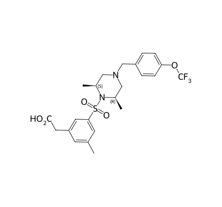 Cc1cc(CC(=O)O)cc(S(=O)(=O)N2[C@H](C)CN(Cc3ccc(OC(F)(F)F)cc3)C[C@@H]2C)c1